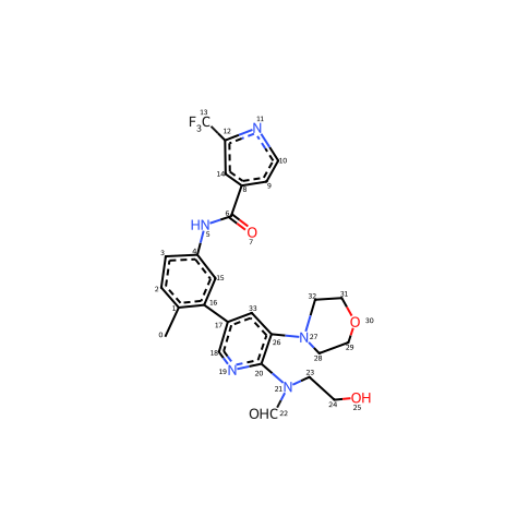 Cc1ccc(NC(=O)c2ccnc(C(F)(F)F)c2)cc1-c1cnc(N(C=O)CCO)c(N2CCOCC2)c1